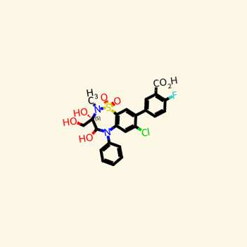 CN1[C@](O)(CO)C(O)N(c2ccccc2)c2cc(Cl)c(-c3ccc(F)c(C(=O)O)c3)cc2S1(=O)=O